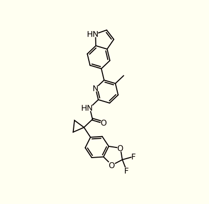 Cc1ccc(NC(=O)C2(c3ccc4c(c3)OC(F)(F)O4)CC2)nc1-c1ccc2[nH]ccc2c1